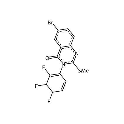 CSc1nc2ccc(Br)cc2c(=O)n1C1=C(F)C(F)C(F)C=C1